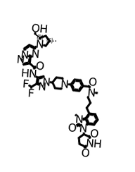 C[C@H]1C[C@H](CO)N(c2ccn3ncc(C(=O)Nc4cn(C5CCN(c6ccc(C(=O)N(C)CCCc7cccc8c7n(C)c(=O)n8C7CCC(=O)NC7=O)cc6)CC5)nc4C(F)F)c3n2)C1